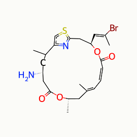 C/C(Br)=C\[C@@H]1Cc2nc(cs2)C(C)C[C@@H](N)CC(=O)O[C@@H](C)C/C(C)=C/C=C\C(=O)O1